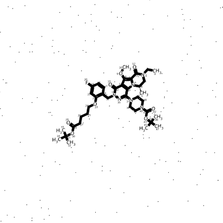 CCN1C[C@H](C)n2c(c(OC)c3c(=O)n(Cc4ccc(F)cc4OCCCCC(=O)OC(C)(C)C)nc(N4CCN(C(=O)OC(C)(C)C)CC4)c32)C1=O